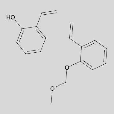 C=Cc1ccccc1O.C=Cc1ccccc1OCOC